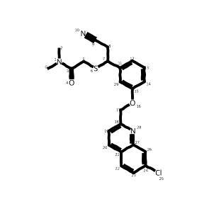 CN(C)C(=O)CSC(CC#N)c1cccc(OCc2ccc3ccc(Cl)cc3n2)c1